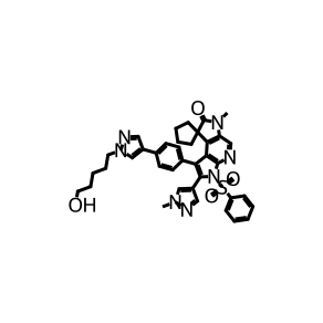 CN1C(=O)C2(CCCC2)c2c1cnc1c2c(-c2ccc(-c3cnn(CCCCCO)c3)cc2)c(-c2cnn(C)c2)n1S(=O)(=O)c1ccccc1